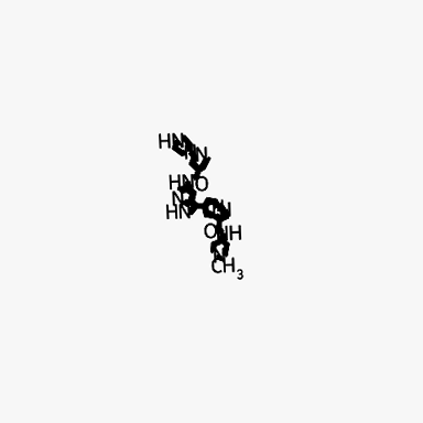 CN1CCC(NC(=O)c2cnn3ccc(-c4c[nH]c5ncc(NC(=O)c6ccnc(N7CCNCC7)c6)cc45)cc23)CC1